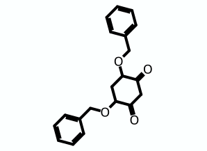 O=C1CC(=O)C(OCc2ccccc2)CC1OCc1ccccc1